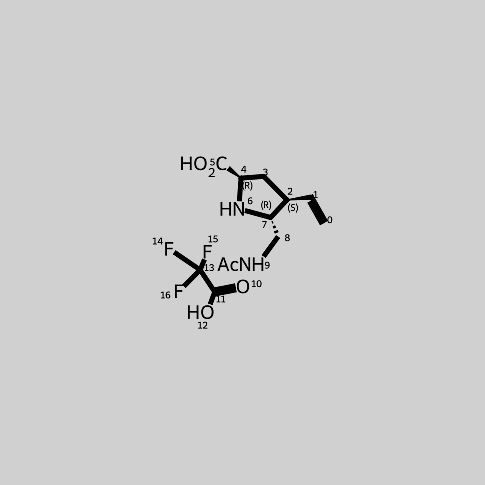 C=C[C@@H]1C[C@H](C(=O)O)N[C@H]1CNC(C)=O.O=C(O)C(F)(F)F